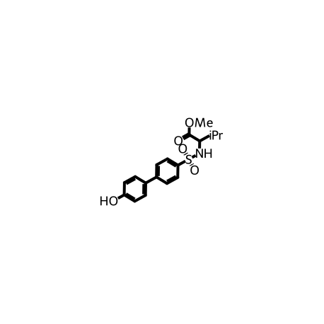 COC(=O)C(NS(=O)(=O)c1ccc(-c2ccc(O)cc2)cc1)C(C)C